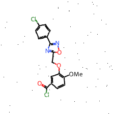 COc1ccc(C(=O)Cl)cc1OCc1nc(-c2ccc(Cl)cc2)no1